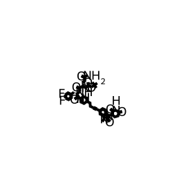 Cn1c(=O)n(C2CCC(=O)NC2=O)c2ccc(C#CCCC3CCN(C(=O)[C@H](Cc4ccc(F)c(F)c4)NC(=O)[C@H](CCC(N)=O)NC(=O)OC(C)(C)C)CC3)cc21